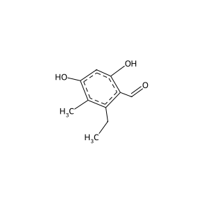 CCc1c(C)c(O)cc(O)c1C=O